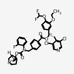 CCOc1cc([C@H](Cc2c(Cl)cncc2Cl)OC(=O)c2ccc(CN(C(=O)O[C@H]3CN4CCC3CC4)c3ccccc3F)cc2)ccc1OC(F)F